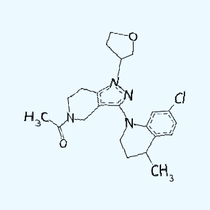 CC(=O)N1CCc2c(c(N3CCC(C)c4ccc(Cl)cc43)nn2C2CCOC2)C1